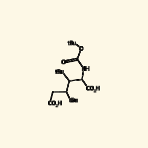 CC(C)(C)OC(=O)NC(C(=O)O)C(C(CC(=O)O)C(C)(C)C)C(C)(C)C